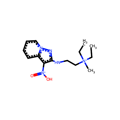 CC[N+](C)(CC)CCNc1nn2ccccc2c1[N+](=O)O